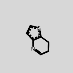 C1=Nc2ccsc2CC1